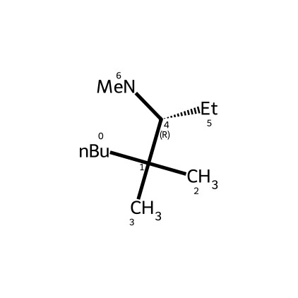 CCCCC(C)(C)[C@@H](CC)NC